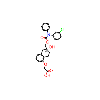 O=C(O)COc1cccc2c1CC[C@](O)(COC(=O)N(c1ccccc1)c1cccc(Cl)c1)C2